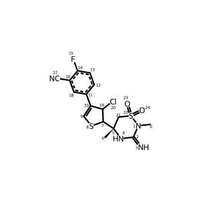 CN1C(=N)N[C@](C)(C2SC=C(c3ccc(F)c(C#N)c3)C2Cl)CS1(=O)=O